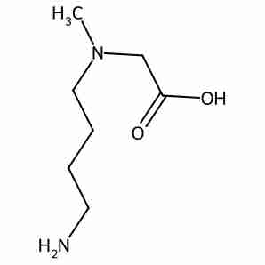 CN(CCCCN)CC(=O)O